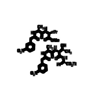 CCC[C@H](NC(=O)[C@H](C)NC(=O)Cc1cccc([N+](=O)[O-])c1)C(=O)OC.CCOC(=O)[C@@H](NC(=O)[C@@H](NC(=O)[C@H](C)NC(=O)Cc1cccc([N+](=O)[O-])c1)[C@@H](C)O)C(C)C